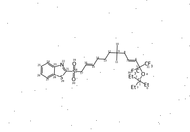 CC[Si](CC)(CC)OC(C=CCC(C)(C)CCCC=CCS(=O)(=O)c1nc2ccccc2s1)(C(F)(F)F)C(F)(F)F